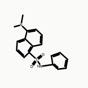 CN(C)c1cccc2c(S(=O)(=O)Nc3c[c]ccc3)cccc12